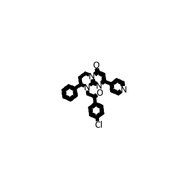 O=C(CN1c2nc(-c3ccncc3)cc(=O)n2CCC1c1ccccc1)c1ccc(Cl)cc1